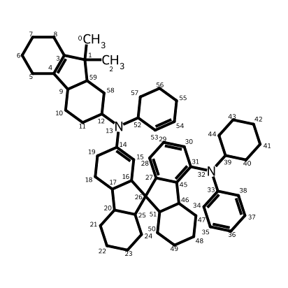 CC1(C)C2=C(CCCC2)C2CCC(N(C3=CC4C(CC3)C3CCCCC3C43c4cccc(N(c5ccccc5)C5CCCCC5)c4C4CCCCC43)C3C=CCCC3)CC21